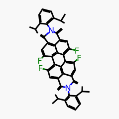 C=C1c2cc(F)c3c4c(F)cc5c6c(cc(F)c(c7c(F)cc(c2c37)C(=C)N1c1c(C(C)C)cccc1C(C)C)c64)C(=C)N(c1c(C(C)C)cccc1C(C)C)C5=C